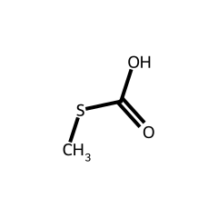 CSC(=O)O